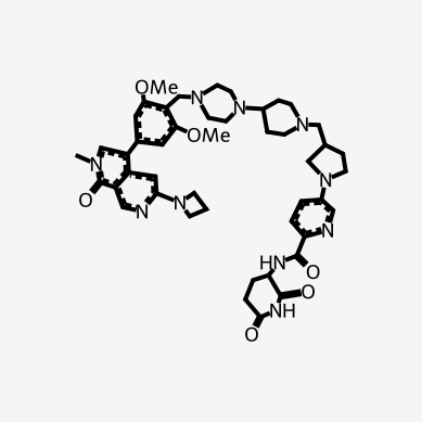 COc1cc(-c2cn(C)c(=O)c3cnc(N4CCC4)cc23)cc(OC)c1CN1CCN(C2CCN(CC3CCN(c4ccc(C(=O)NC5CCC(=O)NC5=O)nc4)C3)CC2)CC1